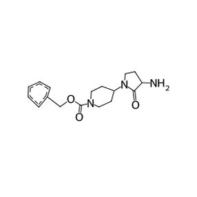 NC1CCN(C2CCN(C(=O)OCc3ccccc3)CC2)C1=O